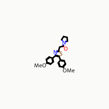 COc1ccc(-c2nc(CC(=O)N3CCCC3)sc2-c2ccc(OC)cc2)cc1